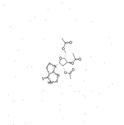 CC(=O)OC[C@H]1O[C@@H](n2ccc3c(=S)[nH]cnc32)[C@@H](OC(C)=O)[C@@H]1OC(C)=O